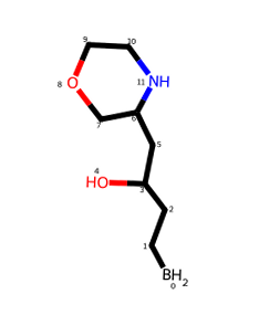 BCCC(O)CC1COCCN1